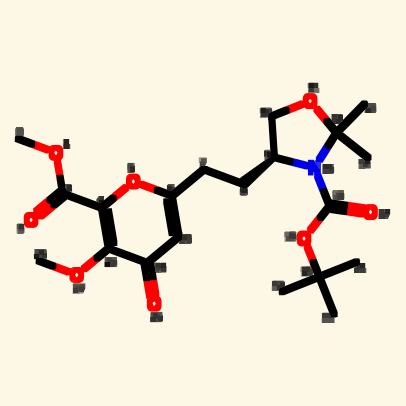 COC(=O)c1oc(CC[C@H]2COC(C)(C)N2C(=O)OC(C)(C)C)cc(=O)c1OC